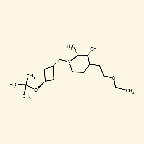 CCOCCC1CCN(C[C@H]2C[C@H](OC(C)(C)C)C2)[C@H](C)[C@@H]1C